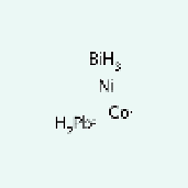 [BiH3].[Co].[Ni].[PbH2]